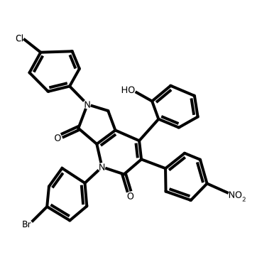 O=C1c2c(c(-c3ccccc3O)c(-c3ccc([N+](=O)[O-])cc3)c(=O)n2-c2ccc(Br)cc2)CN1c1ccc(Cl)cc1